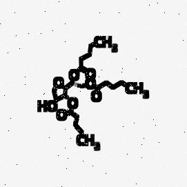 CCCCC(=O)OC[C@@H](OC(=O)CCCC)[C@H]1OCC(O)[C@H]1OC(=O)CCCC